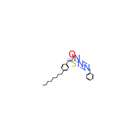 CCCCCCCCc1ccc(/C=C2\SC(N3CCN(Cc4ccccc4)CC3)=NC2=O)cc1